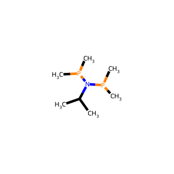 CC(C)N(P(C)C)P(C)C